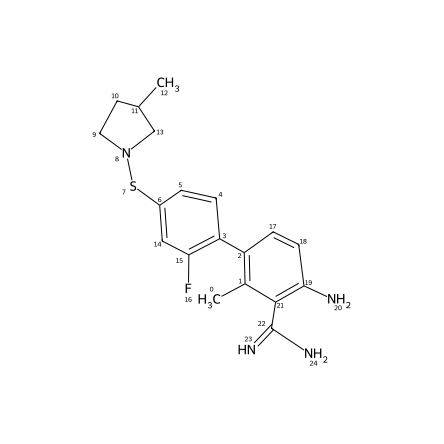 Cc1c(-c2ccc(SN3CCC(C)C3)cc2F)ccc(N)c1C(=N)N